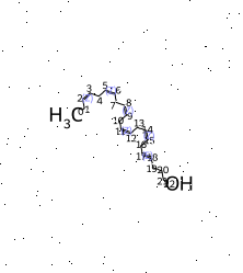 CC/C=C\C/C=C\C/C=C\C/C=C\C/C=C\C/C=C/CCCO